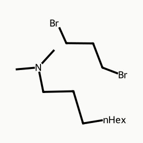 BrCCCBr.CCCCCCCCCN(C)C